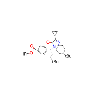 CC(C)OC(=O)c1ccc([C@@H](CCC(C)(C)C)N2C(=O)C(C3CC3)=NC23CCC(C(C)(C)C)CC3)cc1